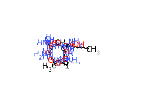 CCCCCCC[C@@H](O)CC(=O)N[C@H](CCN)C(=O)N[C@H]1CCNC(=O)[C@H]([C@@H](C)O)NC(=O)[C@H](CCCNC(=N)N)NC(=O)[C@H](CCN)NC(=O)[C@H](CC(C)C)NC(=O)[C@@H](Cc2ccccc2)NC(=O)[C@H](CCN)NC1=O